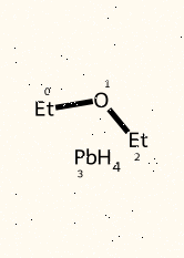 CCOCC.[PbH4]